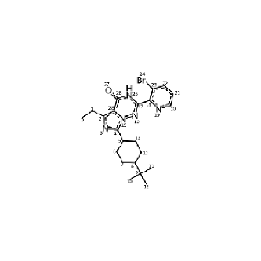 CCc1nc(C2CCC(C(C)(C)C)CC2)n2nc(-c3ncccc3Br)[nH]c(=O)c12